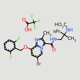 CCCC(C)(CNC(=O)c1c(C)nc2c(OCc3c(F)cccc3F)cc(Br)cn12)NC(=O)O.O=C(O)C(F)(F)F